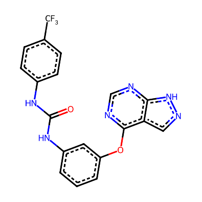 O=C(Nc1ccc(C(F)(F)F)cc1)Nc1cccc(Oc2ncnc3[nH]ncc23)c1